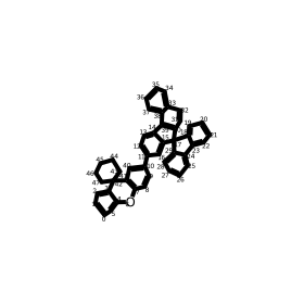 c1ccc2c(c1)Oc1ccc(-c3ccc4c(c3)C3(c5ccccc5-c5ccccc53)c3ccc5ccccc5c3-4)cc1C21CCCCC1